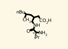 CCCCC(C)CC(CNC(=O)[C@@H](N)C(C)C)CC(=O)O